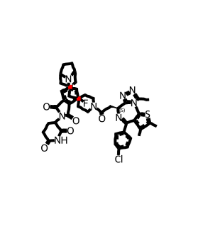 Cc1sc2c(c1C)C(c1ccc(Cl)cc1)=N[C@@H](CC(=O)N1CCC(CN3CC4CCC(C3)N4c3cc(F)c4c(c3)C(=O)N(C3CCC(=O)NC3=O)C4=O)CC1)c1nnc(C)n1-2